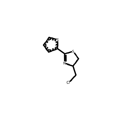 ClCC1CSC(c2cccs2)=N1